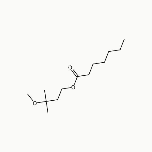 CCCCCCC(=O)OCCC(C)(C)OC